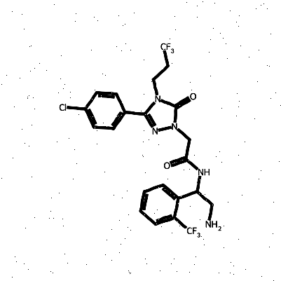 NCC(NC(=O)Cn1nc(-c2ccc(Cl)cc2)n(CCC(F)(F)F)c1=O)c1ccccc1C(F)(F)F